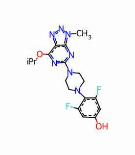 CC(C)Oc1nc(N2CCN(c3c(F)cc(O)cc3F)CC2)nc2c1nnn2C